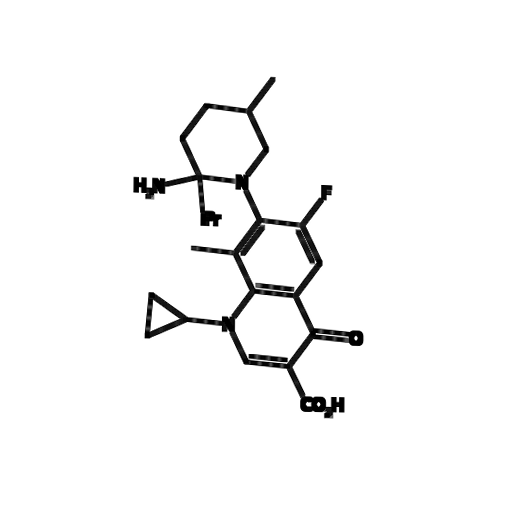 Cc1c(N2CC(C)CCC2(N)C(C)C)c(F)cc2c(=O)c(C(=O)O)cn(C3CC3)c12